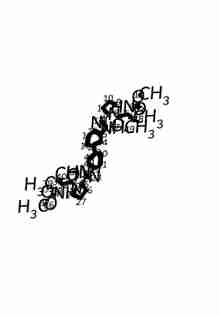 COC(=O)NC(C(=O)N1CCC[C@H]1c1nc2ccc(-c3ccc4nc([C@@H]5CCCN5C(=O)[C@@H](NC(=O)OC)C(C)C)[nH]c4c3)cc2[nH]1)C(C)C